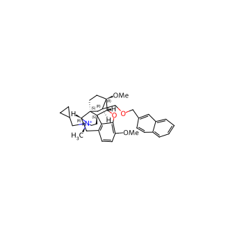 COc1ccc2c3c1O[C@H]1[C@@]4(OC)CC[C@@]5(C[C@@H]4COCc4ccc6ccccc6c4)[C@@H](C2)[N@@+](C)(CC2CC2)CC[C@]315